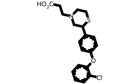 O=C(O)CCN1CCSC(c2ccc(Oc3ccccc3Cl)cc2)C1